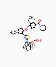 CCc1cc(C(=O)N2CCCCC2)ccc1COc1ccc(C)cc1-c1csc(N2C[C@H]3CC[C@@H](C2)[C@H]3COCO)n1